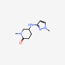 CN1CC(Nc2ccn(C)n2)CCC1=O